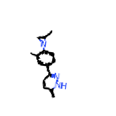 C=C1C=CC(c2ccc(N3CC3C)c(C)c2)=NN1